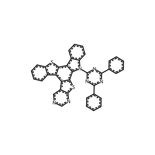 c1ccc(-c2nc(-c3ccccc3)nc(-n3c4ccccc4c4c5sc6ccccc6c5c5c6cncnc6sc5c43)n2)cc1